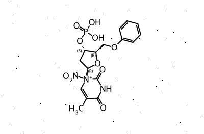 CC1=C[N+]([C@H]2C[C@H](OP(=O)(O)O)[C@@H](COc3ccccc3)O2)([N+](=O)[O-])C(=O)NC1=O